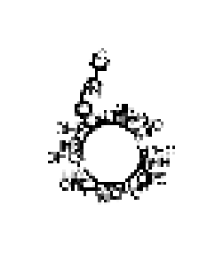 CC(C)CC1C(C=O)C(O)C(C)C(C=O)C(C)(N=N)C(CC(C)C)C(C=O)C(O)CC(C=O)C(C)(N=N)C(CC(C)C)C(C=O)C(O)(Cc2ccc(Cn3cc(C4=CCOCC4)cn3)cc2)C(C)C(C=O)C(C)(N=N)C(CC(C)C)C(C=O)C(O)CC(C=O)C1(C)N=N